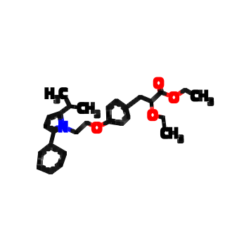 CCOC(=O)C(Cc1ccc(OCCn2c(-c3ccccc3)ccc2C(C)C)cc1)OCC